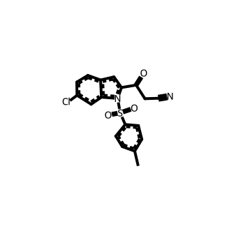 Cc1ccc(S(=O)(=O)n2c(C(=O)CC#N)cc3ccc(Cl)cc32)cc1